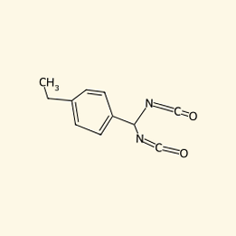 CCc1ccc(C(N=C=O)N=C=O)cc1